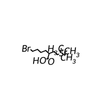 C[Si](C)(C)CCC(CCCCBr)C(=O)O